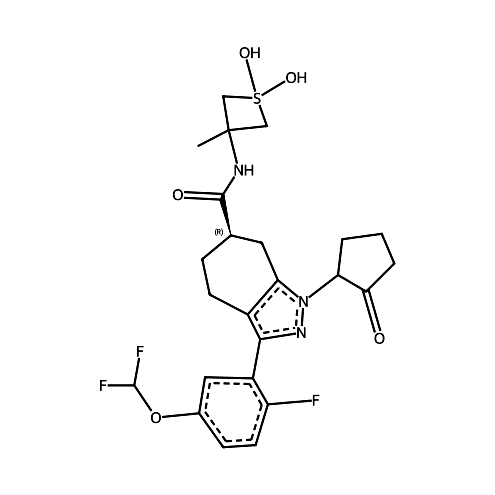 CC1(NC(=O)[C@@H]2CCc3c(-c4cc(OC(F)F)ccc4F)nn(C4CCCC4=O)c3C2)CS(O)(O)C1